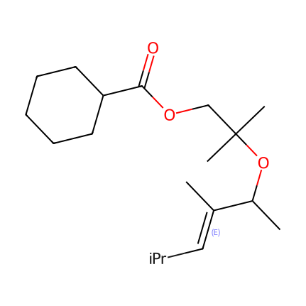 C/C(=C\C(C)C)C(C)OC(C)(C)COC(=O)C1CCCCC1